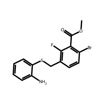 COC(=O)c1c(Br)ccc(CSc2ccccc2N)c1F